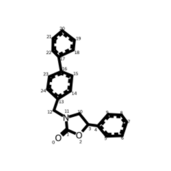 O=C1OC(c2ccccc2)CN1Cc1ccc(-c2ccccc2)cc1